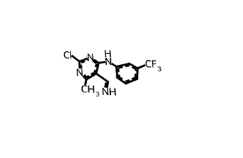 Cc1nc(Cl)nc(Nc2cccc(C(F)(F)F)c2)c1C=N